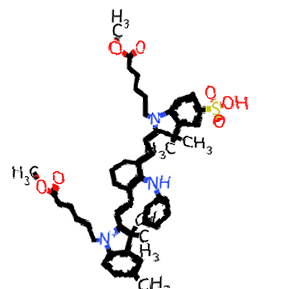 COC(=O)CCCCCN1/C(=C/C=C2\CCCC(/C=C/C3=[N+](CCCCCC(=O)OC)c4ccc(C)cc4C3(C)C)=C2Nc2ccccc2)C(C)(C)c2cc(S(=O)(=O)O)ccc21